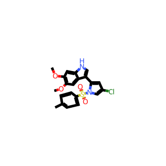 COc1cc2[nH]cc(-c3cc(Cl)cn3S(=O)(=O)c3ccc(C)cc3)c2cc1OC